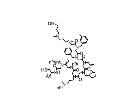 C=CCN(CC(=O)N(CC(=O)N(CCCN(C)CCC)CC(=O)N(CCCC)CC(=O)N(CCCCC)CC(=O)NC(CS)C(C)=O)CC1CCCO1)C(=O)CN(C(=O)CN(Cc1cccc(C)c1)C(=O)CNCCCN(C)CCCC=O)[C@H](C)c1ccccc1